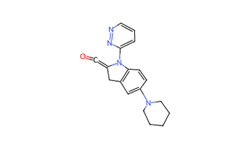 O=C=C1Cc2cc(N3CCCCC3)ccc2N1c1cccnn1